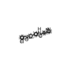 O=C(Nc1ccc(C2CCN(C(=O)Cc3cccc(Cl)c3)CC2)cc1)C1CN(c2cccnn2)C1